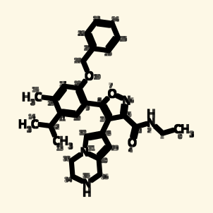 CCNC(=O)c1noc(-c2cc(C(C)C)c(C)cc2OCc2ccccc2)c1-c1cc2n(c1)CCNC2